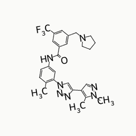 Cc1ccc(NC(=O)c2cc(CN3CCCC3)cc(C(F)(F)F)c2)cc1-n1cc(-c2cnn(C)c2C)nn1